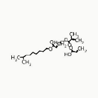 C=C(C)C(=O)OC.C=CC(=O)O.C=CC(=O)OCCCCCCCC(C)C